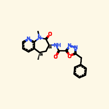 C[C@H]1C[C@H](NC(=O)c2nnc(Cc3ccccc3)o2)C(=O)N(C)c2ncccc21